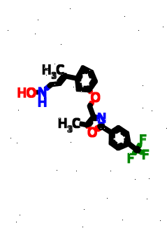 CC(=CCNO)c1cccc(OCc2nc(-c3ccc(C(F)(F)F)cc3)oc2C)c1